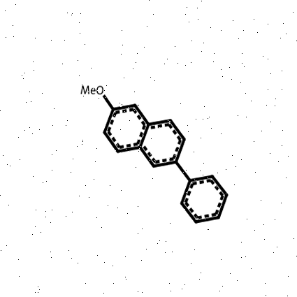 COc1[c]c2ccc(-c3ccccc3)cc2cc1